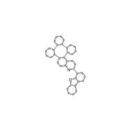 c1ccc2c(c1)-c1ccccc1-c1ccc3nc(-c4cccc5c4oc4ccccc45)ccc3c1-c1ccccc1-2